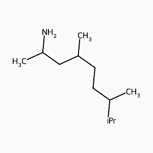 CC(N)CC(C)CCC(C)C(C)C